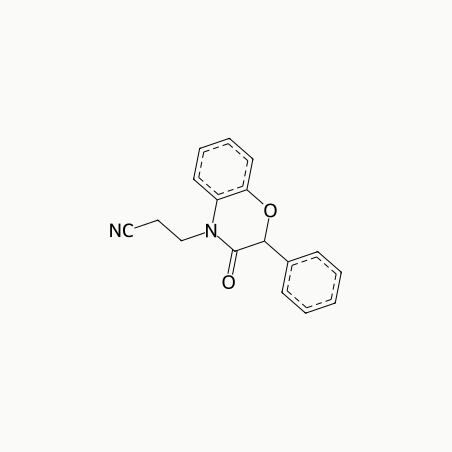 N#CCCN1C(=O)C(c2ccccc2)Oc2ccccc21